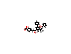 Cc1c(C(=O)C=Cc2ccc(C(=O)O)cc2)cc(-c2ccccc2)c(OCc2ccccc2)c1C(C)(C)C